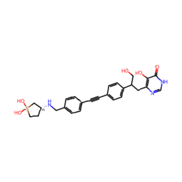 O=c1[nH]cnc(CC(CO)c2ccc(C#Cc3ccc(CN[C@@H]4CCS(O)(O)C4)cc3)cc2)c1O